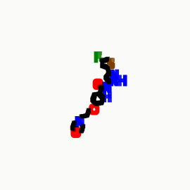 O=C(Nc1cc(-c2cc(F)cs2)n[nH]1)c1ccc(OCCCN2CCOCC2)cc1